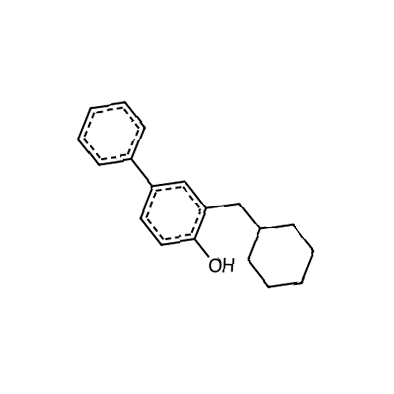 Oc1ccc(-c2ccccc2)cc1CC1CCCCC1